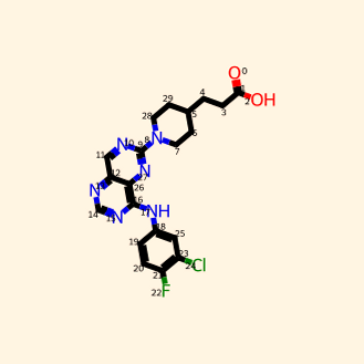 O=C(O)CCC1CCN(c2ncc3ncnc(Nc4ccc(F)c(Cl)c4)c3n2)CC1